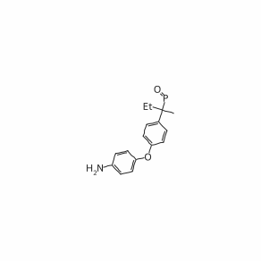 CCC(C)(P=O)c1ccc(Oc2ccc(N)cc2)cc1